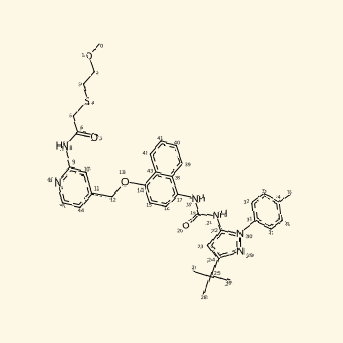 COCCSCC(=O)Nc1cc(COc2ccc(NC(=O)Nc3cc(C(C)(C)C)nn3-c3ccc(C)cc3)c3ccccc23)ccn1